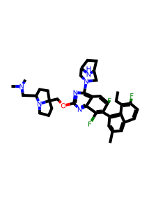 CCc1c(F)ccc2cc(C)cc(-c3c(F)cc4c(N5CC6CCC(C5)N6)nc(OCC56CCCN5C(CN(C)C)CC6)nc4c3F)c12